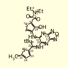 CCN(CC)S(=O)(=O)c1scc(Nc2nc3nonc3nc2N[C@@H](c2ccc(C)s2)C(C)(C)C)c1O